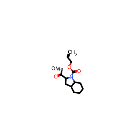 C=CCOC(=O)N1C(C(=O)OC)CC2CCCCC21